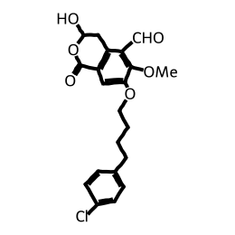 COc1c(OCCCCc2ccc(Cl)cc2)cc2c(c1C=O)CC(O)OC2=O